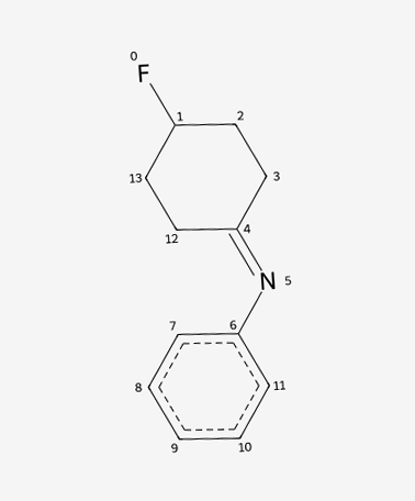 FC1CCC(=Nc2ccccc2)CC1